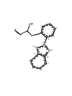 CCC(O)Cc1ccccc1-n1nc2ccccc2n1